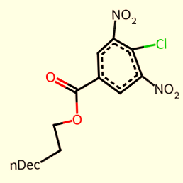 CCCCCCCCCCCCOC(=O)c1cc([N+](=O)[O-])c(Cl)c([N+](=O)[O-])c1